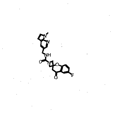 Cn1ccc2cc(CNC(=O)N3CC4(CC(=O)c5cc(F)ccc5O4)C3)cnc21